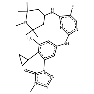 CN1C(C)(C)CC(Nc2nc(Nc3cc(-n4nnn(C)c4=O)c(C4CC4)c(C(F)(F)F)c3)ncc2F)CC1(C)C